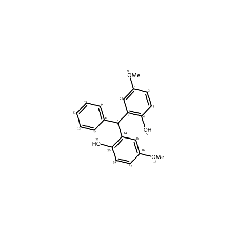 COc1ccc(O)c(C(c2ccccc2)c2cc(OC)ccc2O)c1